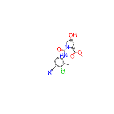 COC(=O)[C@@H]1C[C@@H](O)CN1C(=O)Nc1ccc(C#N)c(Cl)c1C